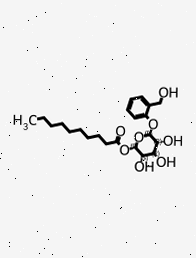 CCCCCCCCCC(=O)O[C@H]1O[C@@H](Oc2ccccc2CO)[C@H](O)[C@@H](O)[C@@H]1O